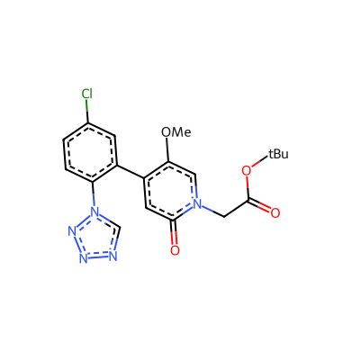 COc1cn(CC(=O)OC(C)(C)C)c(=O)cc1-c1cc(Cl)ccc1-n1cnnn1